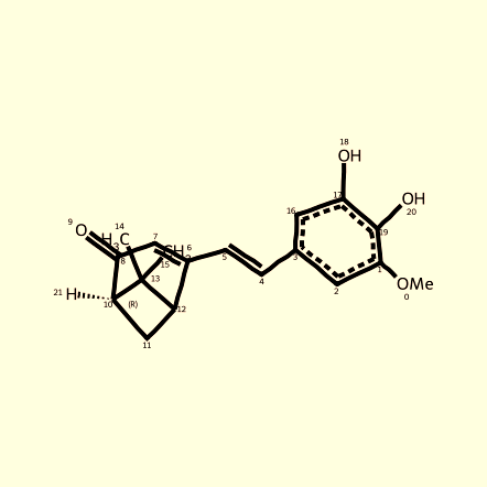 COc1cc(C=CC2=CC(=O)[C@@H]3CC2C3(C)C)cc(O)c1O